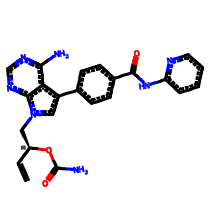 C=C[C@@H](Cn1cc(-c2ccc(C(=O)Nc3ccccn3)cc2)c2c(N)ncnc21)OC(N)=O